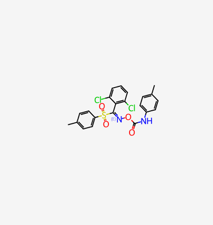 Cc1ccc(NC(=O)O/N=C(\c2c(Cl)cccc2Cl)S(=O)(=O)c2ccc(C)cc2)cc1